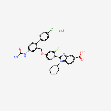 Cl.NC(=O)Nc1ccc(-c2ccc(Cl)cc2)c(COc2ccc(-c3nc4cc(C(=O)O)ccc4n3C3CCCCC3)c(F)c2)c1